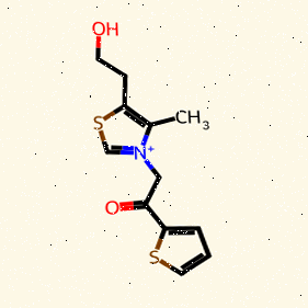 Cc1c(CCO)sc[n+]1CC(=O)c1cccs1